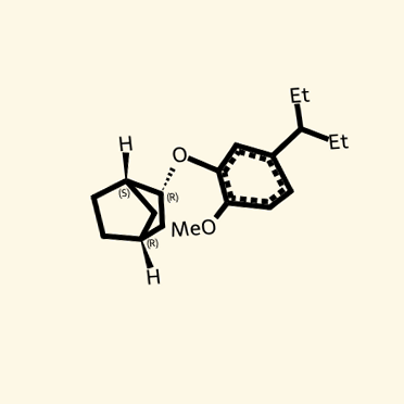 CCC(CC)c1ccc(OC)c(O[C@@H]2C[C@@H]3CC[C@H]2C3)c1